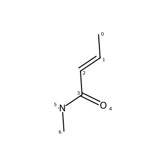 C/C=C/C(=O)[N]C